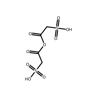 O=C(CS(=O)(=O)O)OC(=O)CS(=O)(=O)O